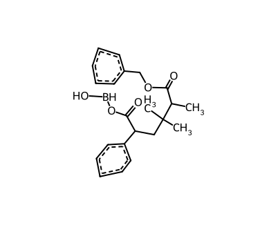 CC(C(=O)OCc1ccccc1)C(C)(C)CC(C(=O)OBO)c1ccccc1